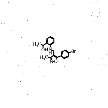 Cc1noc(-c2ccc(Br)cc2)c1CNc1ccccc1C(C)O